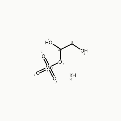 [KH].[O]=[Mn](=[O])(=[O])[O]C(O)CO